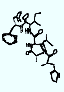 CCC(C)[C@@H](NC(=O)[C@@H](CC(C)C)NC(=O)[C@@H](C)NC(=O)[C@H](C)CC1=CCC=N1)C(=O)N[C@@H](CO)Cc1ccccc1